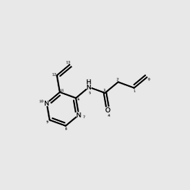 C=CCC(=O)Nc1nccnc1C=C